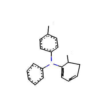 Cc1ccc(N(C2=CC=CCC2C)c2ccccc2)cc1